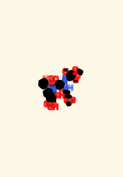 C=CS(=O)(=O)CCCC(=O)Nc1cc(/N=N/c2c(Nc3ccccc3)ccc3cc(S(=O)(=O)O)cc(O)c23)c(S(=O)(=O)O)cc1/N=N/c1cc(OC)c(S(=O)(=O)C=C)cc1OC